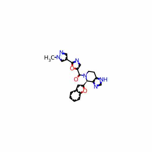 Cn1cc(-c2ncc(C(=O)N3CCc4[nH]cnc4[C@H]3c3cc4ccccc4o3)o2)cn1